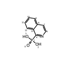 O=P(O)(O)c1nccc2ccccc12